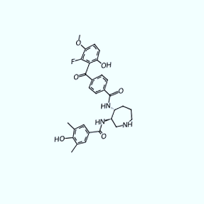 COc1ccc(O)c(C(=O)c2ccc(C(=O)N[C@@H]3CCCNC[C@H]3NC(=O)c3cc(C)c(O)c(C)c3)cc2)c1F